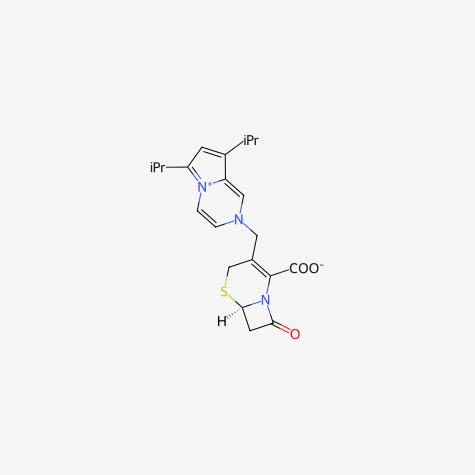 CC(C)c1cc(C(C)C)[n+]2ccn(CC3=C(C(=O)[O-])N4C(=O)C[C@H]4SC3)cc1-2